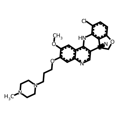 COc1cc2c(Nc3c(Cl)ccc4c3OCO4)c(C#N)cnc2cc1OCCCN1CCN(C)CC1